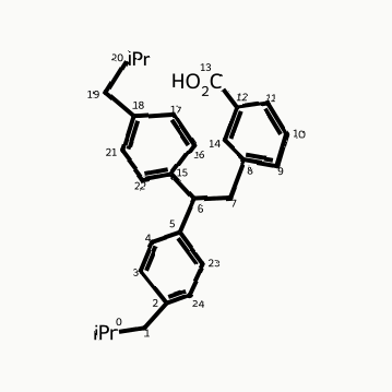 CC(C)Cc1ccc(C(Cc2cccc(C(=O)O)c2)c2ccc(CC(C)C)cc2)cc1